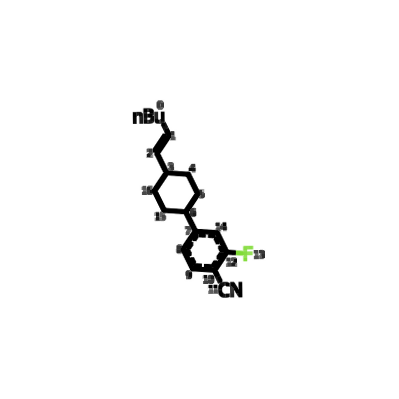 CCCCC=CC1CCC(c2ccc(C#N)c(F)c2)CC1